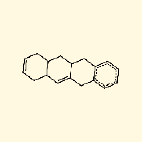 C1=CCC2CC3Cc4ccccc4CC3=CC2C1